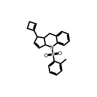 Cc1ccccc1S(=O)(=O)N1c2ccccc2CC2C(C3=CCC3)C=CC21